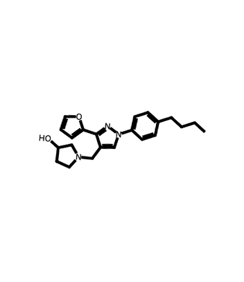 CCCCc1ccc(-n2cc(CN3CCC(O)C3)c(-c3ccco3)n2)cc1